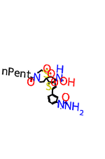 CCCCCC(=O)N1CCC(CC(=O)NO)(c2ccc(-c3cccc(N(C)C(N)=O)c3)s2)S(=O)(=O)CC1